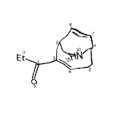 CCC(=O)C1=CCC2C=CC1CN2